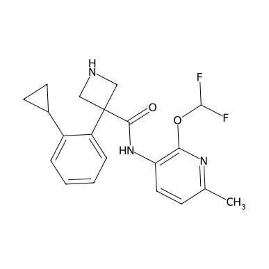 Cc1ccc(NC(=O)C2(c3ccccc3C3CC3)CNC2)c(OC(F)F)n1